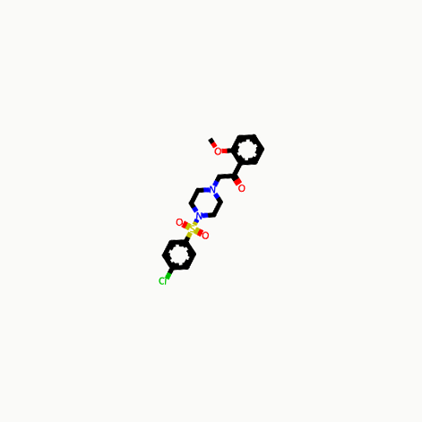 COc1ccccc1C(=O)CN1CCN(S(=O)(=O)c2ccc(Cl)cc2)CC1